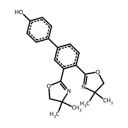 CC1(C)COC(c2ccc(-c3ccc(O)cc3)cc2C2=NC(C)(C)CO2)=N1